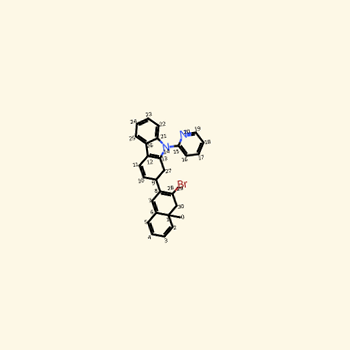 CC12C=CC=CC1=CC(C1C=Cc3c(n(-c4ccccn4)c4ccccc34)C1)=C(Br)C2